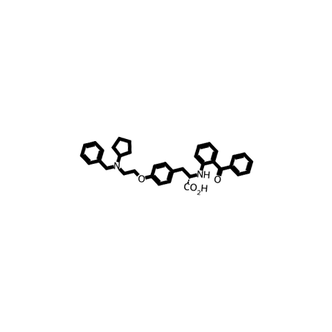 O=C(c1ccccc1)c1ccccc1N[C@@H](Cc1ccc(OCCN(Cc2ccccc2)C2CCCC2)cc1)C(=O)O